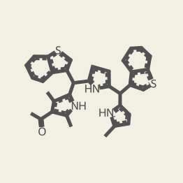 CC(=O)c1c(C)[nH]c(C(c2ccc(C(c3ccc(C)[nH]3)c3csc4ccccc34)[nH]2)c2csc3ccccc23)c1C